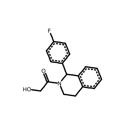 O=C(CO)N1CCc2ccccc2C1c1ccc(F)cc1